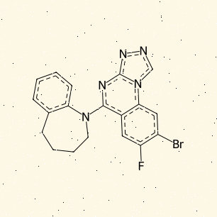 Fc1cc2c(N3CCCCc4ccccc43)nc3nncn3c2cc1Br